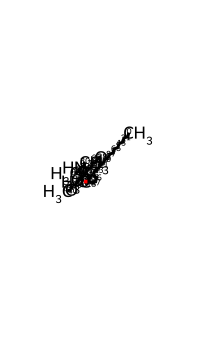 CCCCCCCCCCCCCCCc1cccc(C)c1C1C(CCOC=O)=C(C)NC(C)=C1C(=O)OCCOC